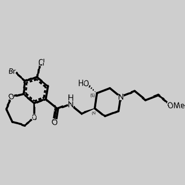 COCCCN1CC[C@@H](CNC(=O)c2cc(Cl)c(Br)c3c2OCCCO3)[C@H](O)C1